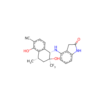 C[C@H]1C[C@@](O)(C(F)(F)F)[C@@H](Nc2cccc3c2CC(=O)N3)c2ccc(C#N)c(O)c21